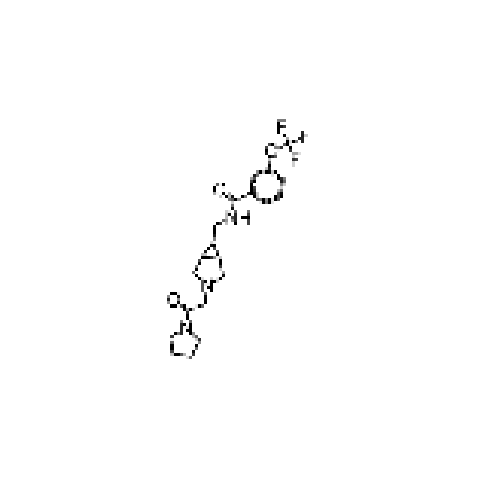 O=C(NCC1C2CN(CC(=O)N3CCCC3)CC12)c1cccc(OC(F)(F)F)c1